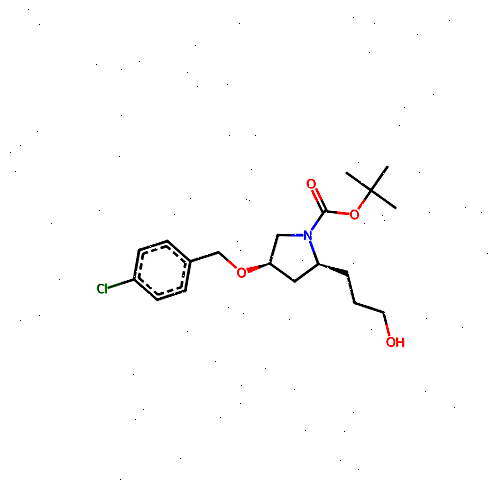 CC(C)(C)OC(=O)N1C[C@H](OCc2ccc(Cl)cc2)C[C@@H]1CCCO